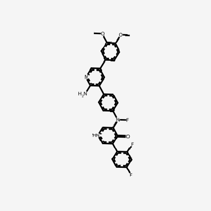 COc1ccc(-c2cnc(N)c(-c3ccc(N(F)c4c[nH]cc(-c5ccc(F)cc5F)c4=O)cc3)c2)cc1OC